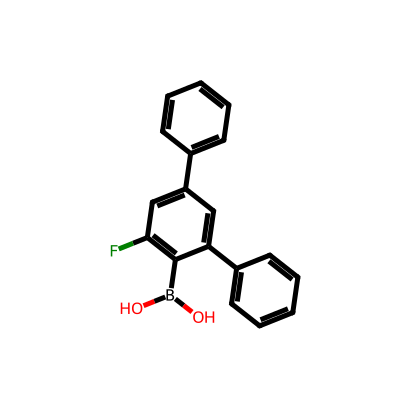 OB(O)c1c(F)cc(-c2ccccc2)cc1-c1ccccc1